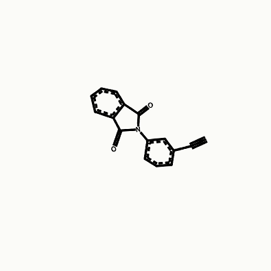 C#Cc1cccc(N2C(=O)c3ccccc3C2=O)c1